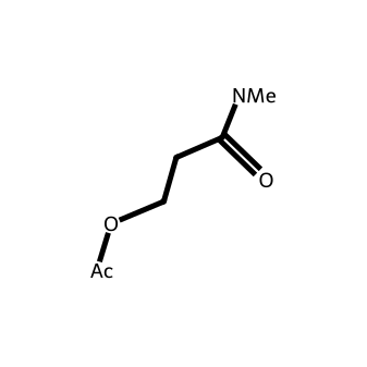 CNC(=O)CCOC(C)=O